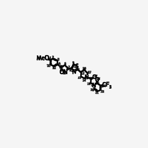 COc1ccc([C@H]2CC(c3csc(C4CCN(C(=O)Cn5cccc(C(F)(F)F)c5=O)CC4)n3)=NO2)cc1